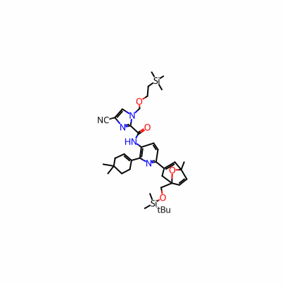 CC1(C)CC=C(c2nc(C3=CC4(C)C=CC(CO[Si](C)(C)C(C)(C)C)(C3)O4)ccc2NC(=O)c2nc(C#N)cn2COCC[Si](C)(C)C)CC1